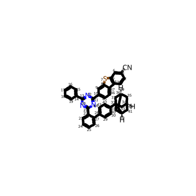 N#Cc1ccc2c(c1)sc1cc(-c3nc(-c4ccccc4)nc(-c4ccccc4-c4ccc(C56C[C@H]7C[C@H](C5)C[C@@H](C6)C7)cc4)n3)ccc12